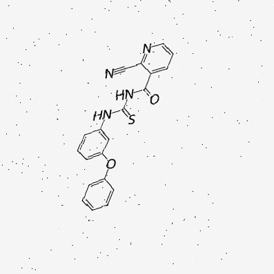 N#Cc1ncccc1C(=O)NC(=S)Nc1cccc(Oc2ccccc2)c1